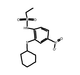 CCS(=O)(=O)Nc1ccc([N+](=O)[O-])cc1SC1CCCCC1